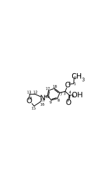 CCOC(C(=O)O)c1ccc(N2CCOCC2)cc1